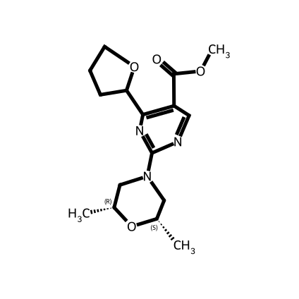 COC(=O)c1cnc(N2C[C@@H](C)O[C@@H](C)C2)nc1C1CCCO1